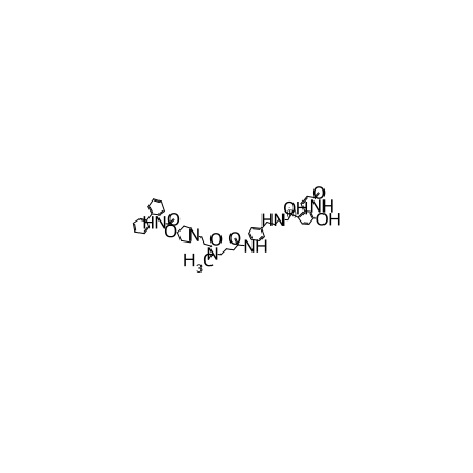 CN(CCCC(=O)Nc1ccc(CCNC[C@H](O)c2ccc(O)c3[nH]c(=O)ccc23)cc1)C(=O)CCN1CCC(OC(=O)Nc2ccccc2-c2ccccc2)CC1